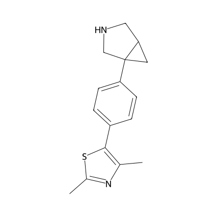 Cc1nc(C)c(-c2ccc(C34CNCC3C4)cc2)s1